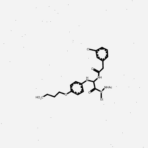 CCN(NC(C)=O)C(=O)C(NC(=O)Cc1cccc(Cl)c1)Nc1ccc(OCCCC(=O)O)cc1